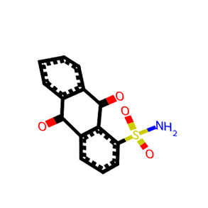 NS(=O)(=O)c1cccc2c1C(=O)c1ccccc1C2=O